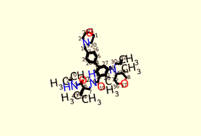 C=C(C)NC(=O)C(CNC(=O)c1cc(-c2ccc(CN3CCOCC3)cc2)cc(N(CC(C)C)C2CCOCC2)c1C)=C(C)C